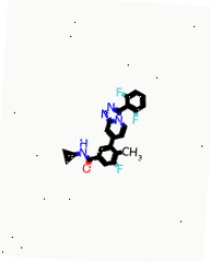 Cc1c(F)cc(C(=O)NC2CC2)cc1-c1ccn2c(-c3c(F)cccc3F)nnc2c1